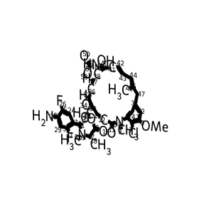 COc1cc2cc(c1Cl)N(C)C(=O)C[C@H](OC(=O)[C@H](C)N(C)C(=O)c1cc(F)c(N)cc1F)[C@]1(C)O[C@H]1C[C@@H]1C[C@](O)(C/C=C/C=C(\C)C2)NC(=O)O1